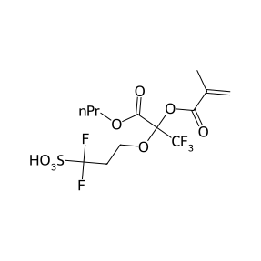 C=C(C)C(=O)OC(OCCC(F)(F)S(=O)(=O)O)(C(=O)OCCC)C(F)(F)F